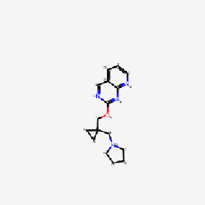 c1cnc2nc(OCC3(CN4CCCC4)CC3)ncc2c1